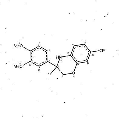 COc1ncc(C2(C)COc3cc(Cl)ccc3N2)nc1OC